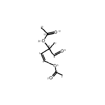 CC(=O)O/C=C\C(C)(C=O)OC(C)=O